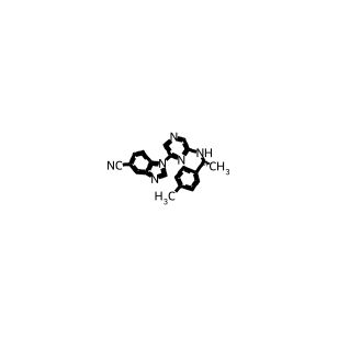 Cc1ccc([C@H](C)Nc2cncc(-n3cnc4cc(C#N)ccc43)n2)cc1